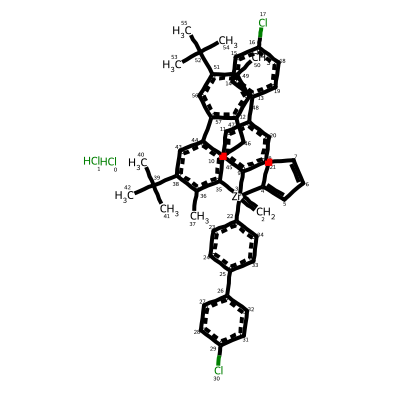 Cl.Cl.[CH2]=[Zr]([C]1=CC=CC1)([c]1ccc(-c2ccc(Cl)cc2)cc1)([c]1ccc(-c2ccc(Cl)cc2)cc1)[c]1c(C)c(C(C)(C)C)cc2c1Cc1cc(C)c(C(C)(C)C)cc1-2